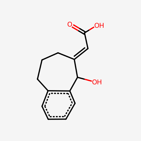 O=C(O)/C=C1\CCCc2ccccc2C1O